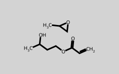 C=CC(=O)OCCC(C)O.CC1CO1